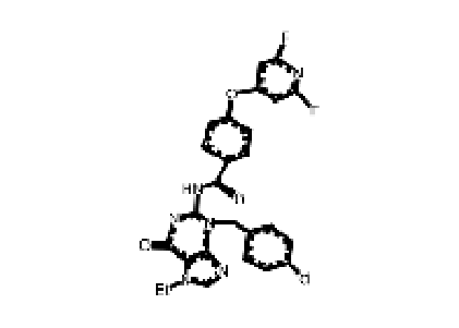 CCn1cnc2c1c(=O)nc(NC(=O)c1ccc(Oc3cc(F)nc(F)c3)cc1)n2Cc1ccc(Cl)cc1